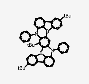 CC(C)(C)c1ccc2c(c1)-c1cccc3c1B2c1c(cc2c(c1C(C)(C)C)N(c1ccccc1)c1cccc4c1B2c1ccc(C(C)(C)C)cc1-4)N3c1ccccc1